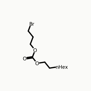 CCCCCCCCOC(=O)OCCCBr